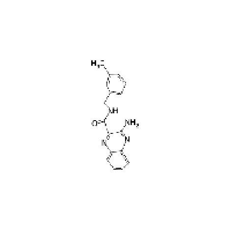 Cc1cccc(CNC(=O)c2nc3ccccc3nc2N)c1